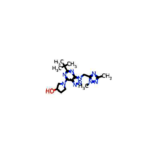 Cc1nc(Cn2nnc3c(N4CCC(O)C4)nc(C(C)(C)C)nc32)n(C)n1